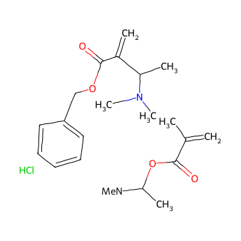 C=C(C(=O)OCc1ccccc1)C(C)N(C)C.C=C(C)C(=O)OC(C)NC.Cl